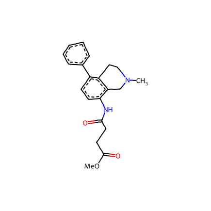 COC(=O)CCC(=O)Nc1ccc(-c2ccccc2)c2c1CN(C)CC2